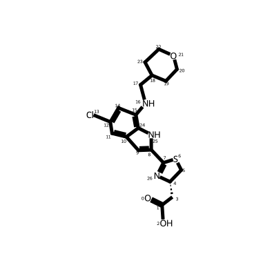 O=C(O)C[C@H]1CSC(c2cc3cc(Cl)cc(NCC4CCOCC4)c3[nH]2)=N1